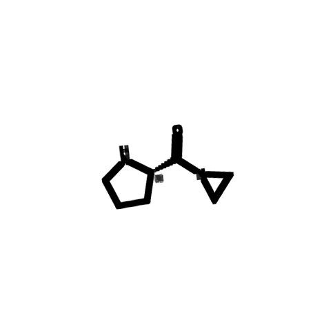 O=C([C@@H]1CCCN1)N1CC1